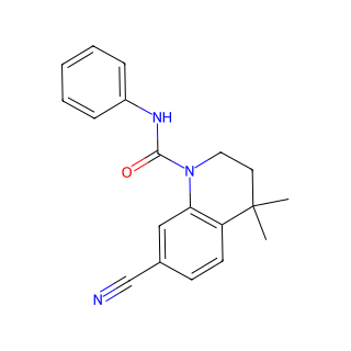 CC1(C)CCN(C(=O)Nc2ccccc2)c2cc(C#N)ccc21